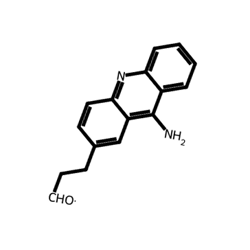 Nc1c2ccccc2nc2ccc(CC[C]=O)cc12